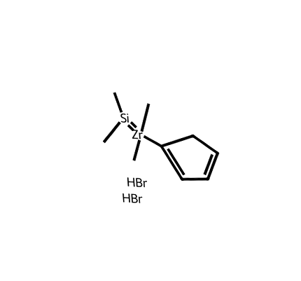 Br.Br.C[Si](C)=[Zr]([CH3])([CH3])[C]1=CC=CC1